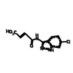 O=C(O)/C=C/C(=O)Nc1n[nH]c2cc(Cl)ccc12